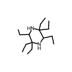 CCC1NC(CC)(CC)C(CC)NC1(CC)CC